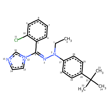 CCN(/N=C(\c1ccccc1Cl)n1ccnc1)c1ccc(C(C)(C)C)cc1